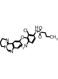 CCCS(=O)(=O)Nc1ccc(N)c(Oc2ccc3c(c2)C2=NCCCN2C=N3)c1Cl